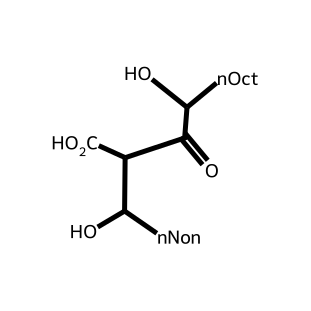 CCCCCCCCCC(O)C(C(=O)O)C(=O)C(O)CCCCCCCC